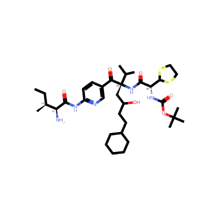 CC[C@H](C)[C@H](N)C(=O)Nc1ccc(C(=O)[C@@](CC(O)CCC2CCCCC2)(NC(=O)[C@@H](NC(=O)OC(C)(C)C)C2SCCS2)C(C)C)cn1